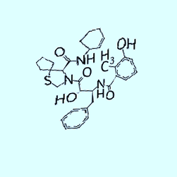 Cc1c(O)cccc1C(=O)N[C@@H](Cc1ccccc1)[C@H](O)C(=O)N1CSC2(CCCC2)[C@H]1C(=O)NC1C=CCCC1